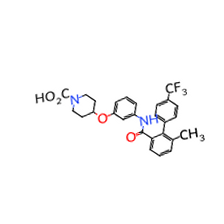 Cc1cccc(C(=O)Nc2cccc(OC3CCN(C(=O)O)CC3)c2)c1-c1ccc(C(F)(F)F)cc1